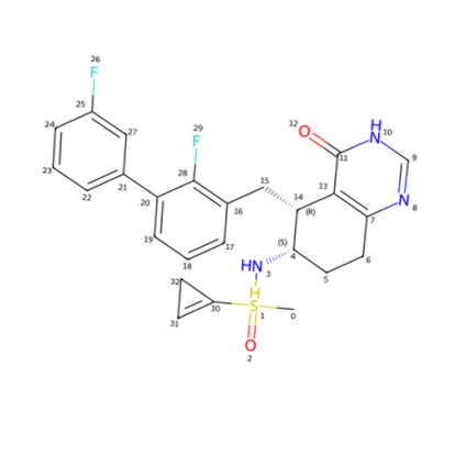 C[SH](=O)(N[C@H]1CCc2nc[nH]c(=O)c2[C@H]1Cc1cccc(-c2cccc(F)c2)c1F)C1=CC1